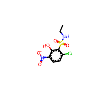 CCNS(=O)(=O)c1c(Cl)ccc([N+](=O)[O-])c1O